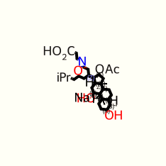 CC(=O)O[C@H]1C[C@@]2(C)[C@@H](C[C@@H](O)[C@H]3[C@@]4(C)CC[C@@H](O)[C@@H](C)[C@@H]4CC[C@@]32C)/C1=C(\CCCC(C)C)CC([O-])=NCCC(=O)O.[Na+]